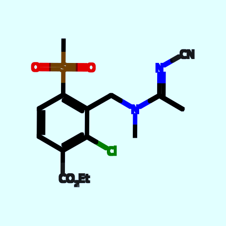 CCOC(=O)c1ccc(S(C)(=O)=O)c(CN(C)C(C)=NC#N)c1Cl